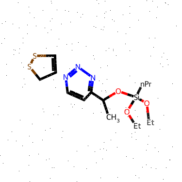 C1=CSSC1.CCC[Si](OCC)(OCC)OC(C)c1ccnnn1